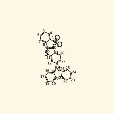 O=S1(=O)c2ccccc2-c2sc3cc(-n4c5ccccc5c5ccccc54)ccc3c21